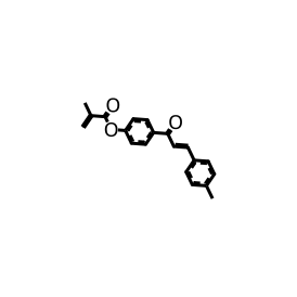 C=C(C)C(=O)Oc1ccc(C(=O)C=Cc2ccc(C)cc2)cc1